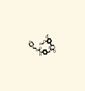 COc1ccc(C2=NN(Cc3ccc(NC(=O)OCCN4CCOCC4)cc3)C(=O)SC2)cc1OCF